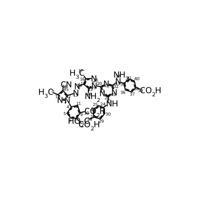 Cc1nn(-c2ccc(C(=O)O)c(C(=O)O)c2)c(N=Nc2c(C)nn(-c3nc(Nc4ccc(C(=O)O)cc4)nc(N(N)c4ccc(C(=O)O)cc4)n3)c2N)c1C#N